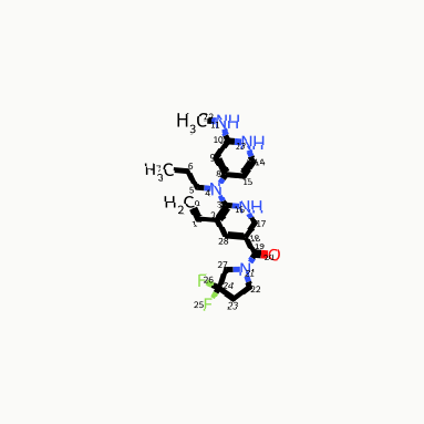 C=CC1=C(N(CCC)C2=CC(NC)NC=C2)NCC(C(=O)N2CCC(F)(F)C2)=C1